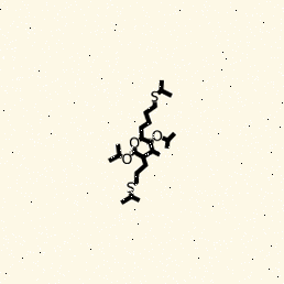 CC(C)O[C@H]1OC(CCCCSC(C)C)[C@@H](OC(C)C)C(C)C1CCCSC(C)C